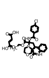 CCOC(=O)C(Cc1cc(=O)[nH]c2ccccc12)(NC(=O)c1ccc(Cl)cc1)N1CCOCC1.O=C(O)/C=C/C(=O)O